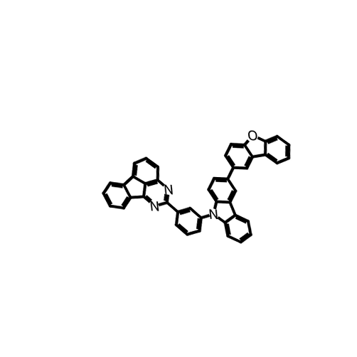 c1cc(-c2nc3c4c(cccc4n2)-c2ccccc2-3)cc(-n2c3ccccc3c3cc(-c4ccc5oc6ccccc6c5c4)ccc32)c1